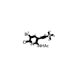 CC(=O)Nc1nc(Cl)c(Br)cc1C#C[Si](C)(C)C